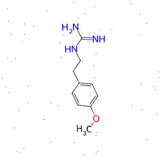 COc1ccc(CCNC(=N)N)cc1